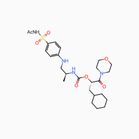 CC(=O)NS(=O)(=O)c1ccc(NC[C@H](C)NC(=O)O[C@@H](CC2CCCCC2)C(=O)N2CCOCC2)cc1